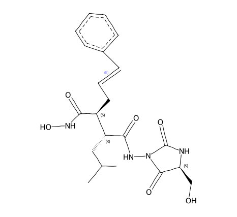 CC(C)C[C@@H](C(=O)NN1C(=O)N[C@@H](CO)C1=O)[C@H](C/C=C/c1ccccc1)C(=O)NO